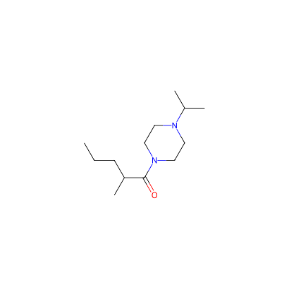 CCCC(C)C(=O)N1CCN(C(C)C)CC1